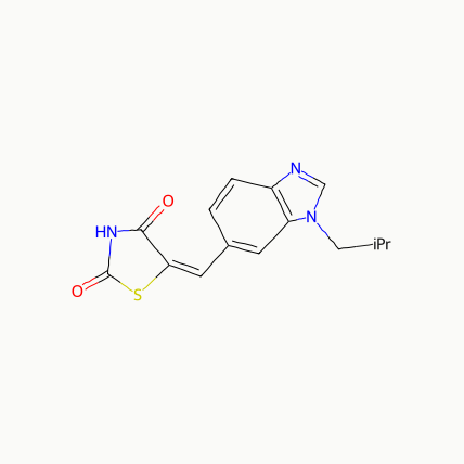 CC(C)Cn1cnc2ccc(C=C3SC(=O)NC3=O)cc21